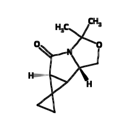 CC1(C)OC[C@@H]2C3[C@H](C(=O)N21)C31CC1